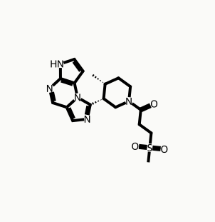 C[C@@H]1CCN(C(=O)CCS(C)(=O)=O)C[C@@H]1c1ncc2cnc3[nH]ccc3n12